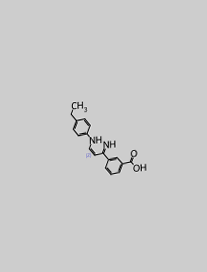 CCc1ccc(N/C=C\C(=N)c2cccc(C(=O)O)c2)cc1